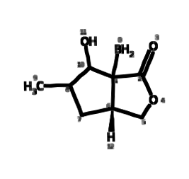 BC12C(=O)OC[C@@H]1CC(C)C2O